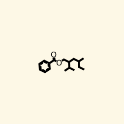 CCC(C)CC(COC(=O)c1ccccc1)C(C)C